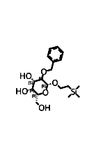 C[Si](C)(C)CCO[C@@H]1O[C@H](CO)[C@H](O)[C@H](O)[C@H]1OCc1ccccc1